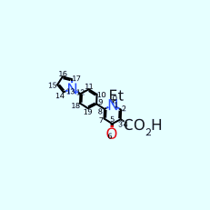 CCn1cc(C(=O)O)c(=O)cc1-c1ccc(-n2cccc2)cc1